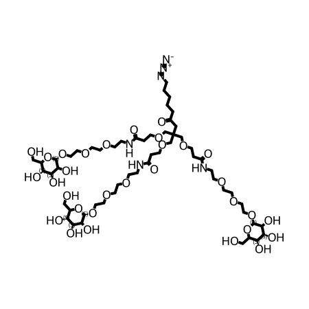 [N-]=[N+]=NCCCCCC(=O)CC(COCCC(=O)NCCOCCOCCO[C@@H]1OC(CO)[C@@H](O)[C@H](O)C1O)(COCCC(=O)NCCOCCOCCO[C@H]1OC(CO)[C@@H](O)[C@H](O)C1O)COCCC(=O)NCCOCCOCCO[C@H]1OC(CO)[C@@H](O)[C@H](O)C1O